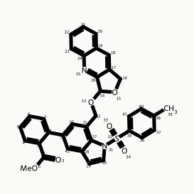 COC(=O)c1ccccc1-c1cc(COC2OCc3cc4ccccc4nc32)c2c(ccn2S(=O)(=O)c2ccc(C)cc2)c1